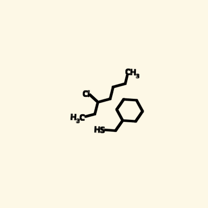 CCCCC(Cl)CC.SCC1CCCCC1